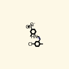 Cc1ccc(Cl)cc1/C=C\Nc1ccc([N+](=O)[O-])cc1C